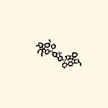 C=CC1=C(/C=C\C)C(c2ccc(C=C)cc2)(c2cc(C)ccc2C)c2cc(N(c3ccccc3)c3ccc4c(c3)C(C)(C)c3cc(N(c5ccccc5)c5ccc6c(c5)C(c5ccc(C=C)cc5)(c5cc(C)ccc5C)c5ccccc5-6)ccc3-4)ccc21